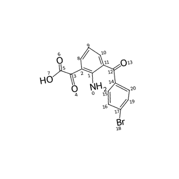 Nc1c(C(=O)C(=O)O)cccc1C(=O)c1ccc(Br)cc1